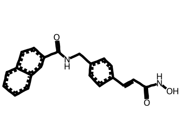 O=C(/C=C/c1ccc(CNC(=O)c2ccc3ccccc3c2)cc1)NO